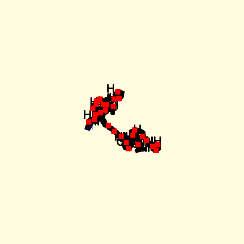 C=C(/C=C\C=C/C)[C@H](NC(=O)[C@@H]1CC[C@@H]2CC[C@H](CCNCc3ccccc3)[C@H](NC(=O)[C@H](CC)NC)C(=O)N21)C(=O)NCCCCCCCCNC(=O)C(NC(=O)[C@@H]1CC[C@@H]2CC[C@H](CCNCc3ccccc3)[C@H](NC(=O)[C@H](CC)NC)C(=O)N21)c1ccccc1